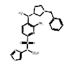 Cc1nc(S(=O)(=O)N(C(=O)O)c2cscn2)ccc1N(C)[C@H]1CCN(Cc2ccccc2)C1